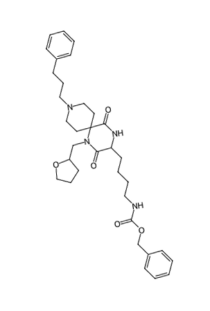 O=C(NCCCCC1NC(=O)C2(CCN(CCCc3ccccc3)CC2)N(CC2CCCO2)C1=O)OCc1ccccc1